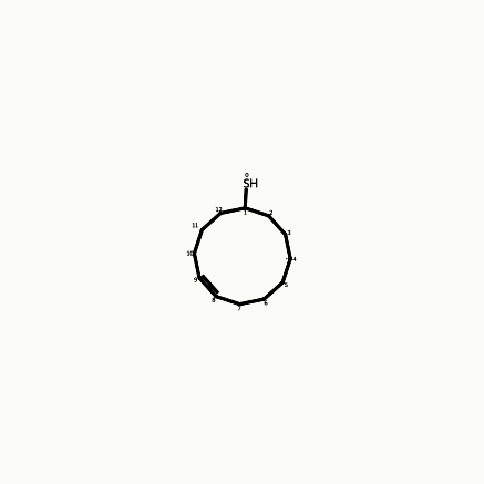 SC1CC[CH]CCC/C=C\CCC1